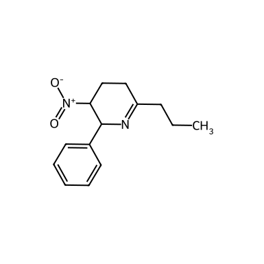 CCCC1=NC(c2ccccc2)C([N+](=O)[O-])CC1